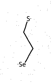 [S]CC[Se]